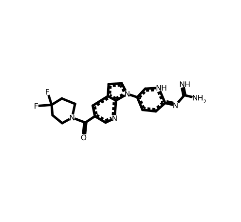 N=C(N)/N=c1/ccc(-n2ccc3cc(C(=O)N4CCC(F)(F)CC4)cnc32)c[nH]1